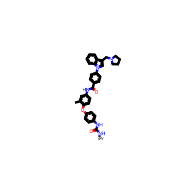 Cc1cc(NC(=O)c2ccc(-n3cc(CN4CCCC4)c4ccccc43)cc2)ccc1Oc1ccc(NC(=O)NC(C)C)cc1